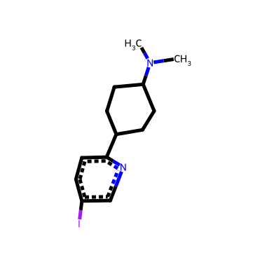 CN(C)C1CCC(c2ccc(I)cn2)CC1